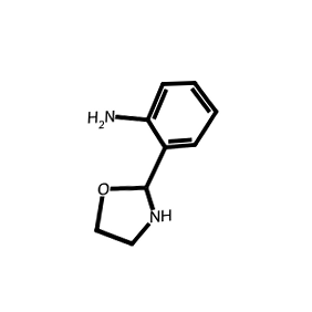 Nc1ccccc1C1NCCO1